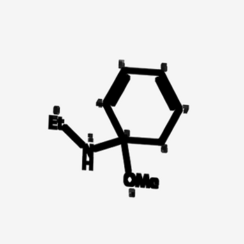 CCNC1(OC)C=CC=CC1